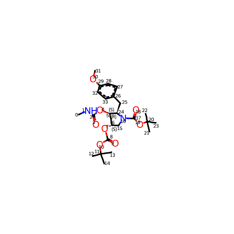 CNC(=O)O[C@@H]1[C@@H](OC(=O)OC(C)(C)C)CN(C(=O)OC(C)(C)C)[C@@H]1Cc1ccc(OC)cc1